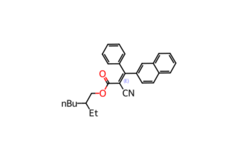 CCCCC(CC)COC(=O)/C(C#N)=C(\c1ccccc1)c1ccc2ccccc2c1